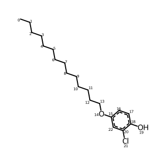 CCCCCCCCCCCCCCOc1ccc(O)c(Cl)c1